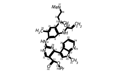 C=CC(=O)Nc1cc(Nc2ncc(C(=O)OC(C)C)c(-c3cn(C)c4ncccc34)n2)c(C)cc1N(C)CCNC